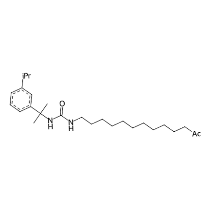 CC(=O)CCCCCCCCCCCNC(=O)NC(C)(C)c1cccc(C(C)C)c1